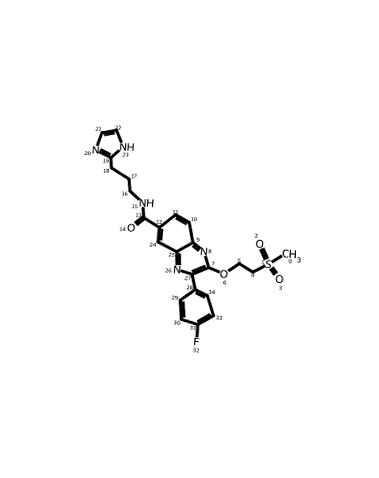 CS(=O)(=O)CCOc1nc2ccc(C(=O)NCCCc3ncc[nH]3)cc2nc1-c1ccc(F)cc1